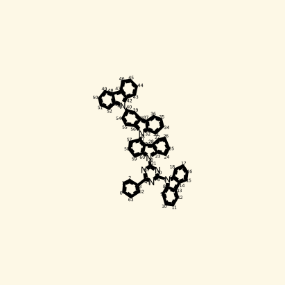 c1ccc(-c2nc(-n3c4ccccc4c4ccccc43)nc(-n3c4ccccc4c4c(-n5c6ccccc6c6cc(-n7c8ccccc8c8ccccc87)ccc65)cccc43)n2)cc1